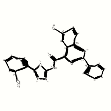 O=C(Nc1nnc(-c2ccccc2Cl)o1)c1cc(-c2ccccc2)nc2ccc(Cl)cc12